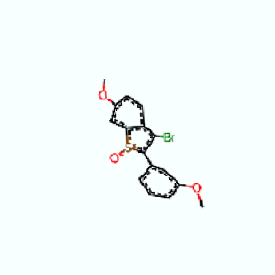 COc1cccc(-c2c(Br)c3ccc(OC)cc3[s+]2[O-])c1